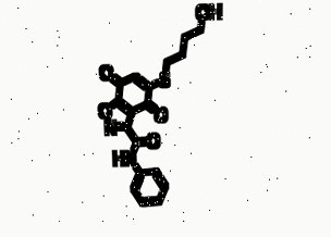 O=C(Nc1ccccc1)c1noc2c1C(=O)C(SCCCCO)=CC2=O